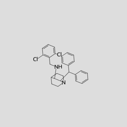 Clc1cccc(Cl)c1CNC1C2CCN(CC2)C1C(c1ccccc1)c1ccccc1